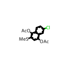 CSc1cc(OC(C)=O)c2cc(Cl)ccc2c1OC(C)=O